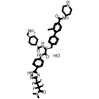 Cc1cc(C(=O)NC2CCNCC2)ccc1-c1ccc(C[C@H](NC(=O)[C@H]2CC[C@H](CN)CC2)C(=O)Nc2ccc(-c3nc(C(F)(F)C(F)(F)C(=O)N(C)C)n[nH]3)cc2)cc1.Cl